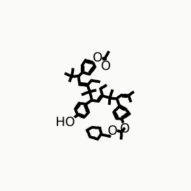 CC/C(=C\C(c1ccc(O)cc1)C(C)(C)/C(=C/C(c1ccc(OC(C)=O)cc1)C(C)(C)C)CC)C(C)(C)C(C=C(C)C)c1ccc(OC(C)OCC2CCCCC2)cc1